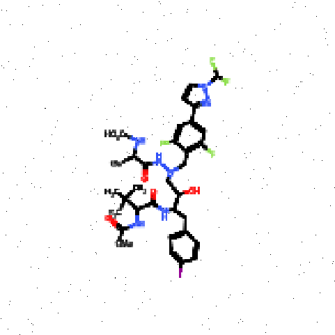 COC(=O)NC(C(=O)NC(Cc1ccc(I)cc1)C(O)CN(Cc1c(F)cc(-c2ccn(C(F)F)n2)cc1F)NC(=O)C(NC(=O)O)C(C)(C)C)C(C)(C)C(F)(F)F